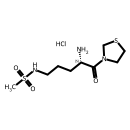 CS(=O)(=O)NCCC[C@H](N)C(=O)N1CCSC1.Cl